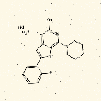 Cc1nc(N2CCCCC2)c2[nH]c(-c3ccccc3F)cc2n1.Cl.O